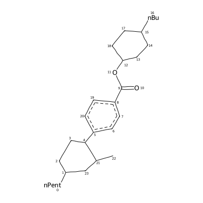 CCCCCC1CCC(c2ccc(C(=O)OC3CCC(CCCC)CC3)cc2)C(C)C1